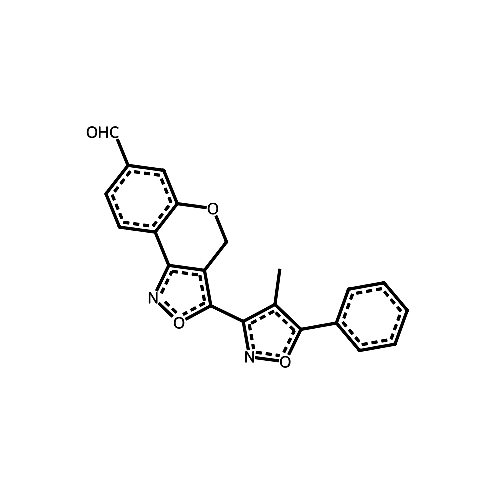 Cc1c(-c2onc3c2COc2cc(C=O)ccc2-3)noc1-c1ccccc1